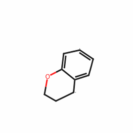 [c]1ccc2c(c1)OCC[CH]2